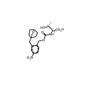 C[C@@H](O)[C@H](NC(=O)OCc1ccc([N+](=O)[O-])cc1CC12CCC(CC1)OC2)C(=O)O